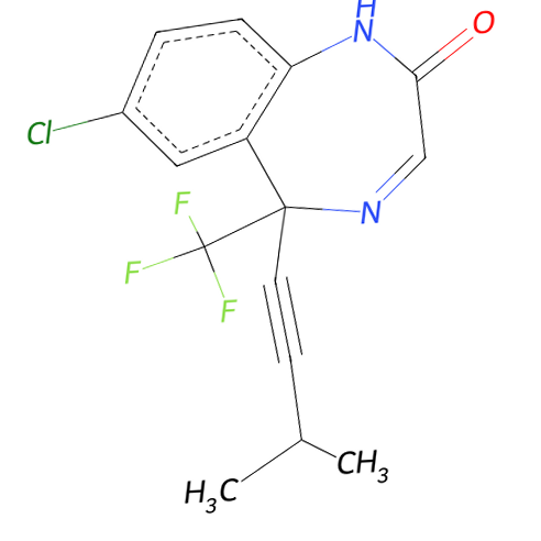 CC(C)C#CC1(C(F)(F)F)N=CC(=O)Nc2ccc(Cl)cc21